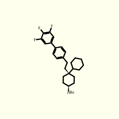 CCCC[C@H]1CC[C@](CCc2ccc(-c3cc(F)c(F)c(F)c3)cc2)(C2CCCCC2)CC1